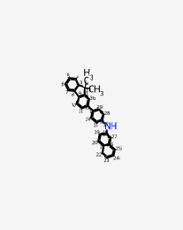 CC1(C)c2ccccc2-c2ccc(-c3ccc(Nc4ccc5ccccc5c4)cc3)cc21